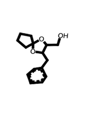 OCC1OC2(CCCC2)OC1Cc1ccccc1